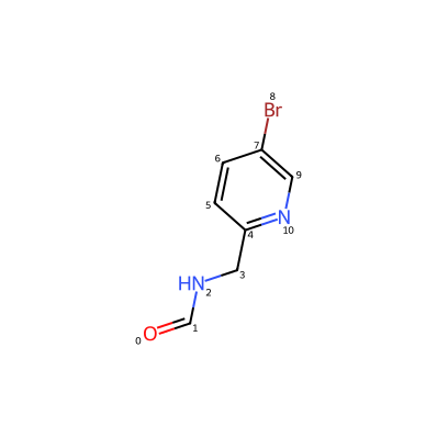 O=CNCc1ccc(Br)cn1